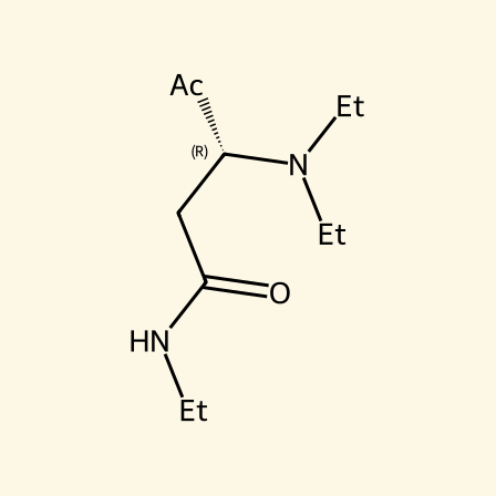 CCNC(=O)C[C@H](C(C)=O)N(CC)CC